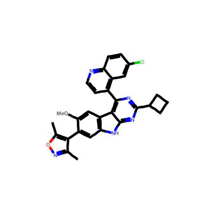 COc1cc2c(cc1-c1c(C)noc1C)[nH]c1nc(C3CCC3)nc(-c3ccnc4ccc(Cl)cc34)c12